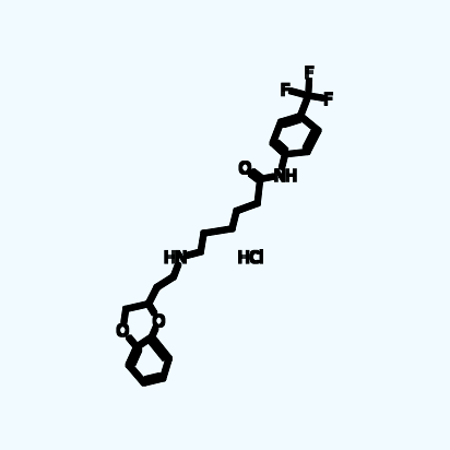 Cl.O=C(CCCCCNCCC1COc2ccccc2O1)Nc1ccc(C(F)(F)F)cc1